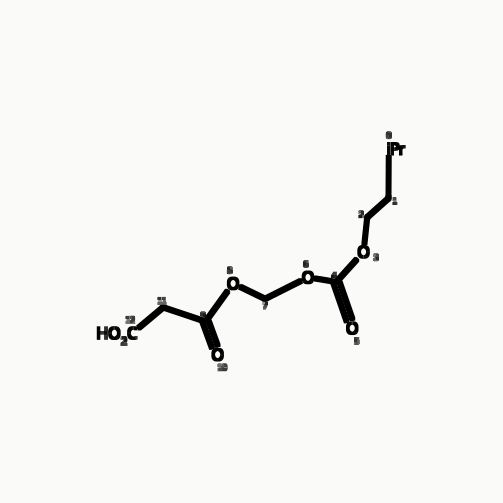 CC(C)CCOC(=O)OCOC(=O)CC(=O)O